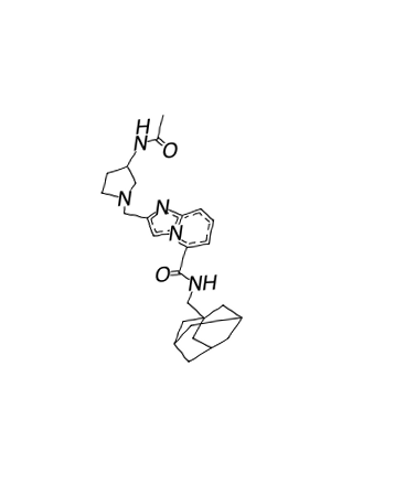 CC(=O)NC1CCN(Cc2cn3c(C(=O)NCC45CC6CC(CC(C6)C4)C5)cccc3n2)C1